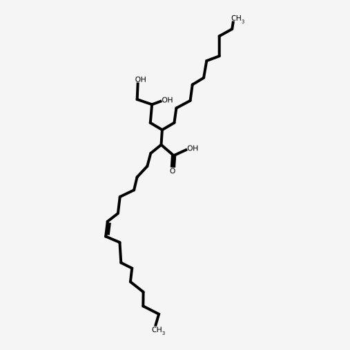 CCCCCCCC/C=C\CCCCCCC(C(=O)O)C(CCCCCCCCCC)CC(O)CO